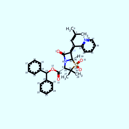 CC(C)=C/C(=C1\C(=O)N2[C@@H](C(=O)OC(c3ccccc3)c3ccccc3)C(C)(C)S(=O)(=O)[C@H]12)c1ccccn1